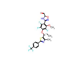 CC[C@@H](Oc1c(F)c(F)c(C2=NOC(C=O)N2)c(OC)c1F)c1sc(-c2ccc(C(F)(F)F)cc2)nc1C